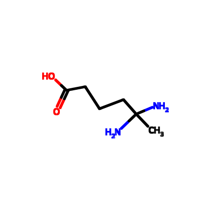 CC(N)(N)CCCC(=O)O